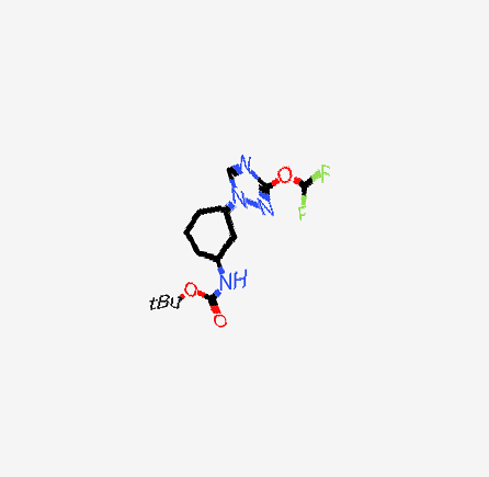 CC(C)(C)OC(=O)NC1CCCC(n2cnc(OC(F)F)n2)C1